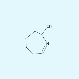 CC1CCCCC=N1